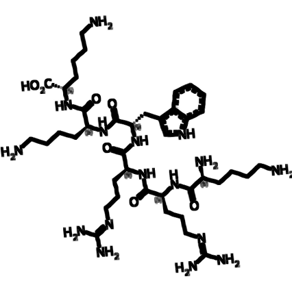 NCCCC[C@H](NC(=O)[C@H](CCCCN)NC(=O)[C@H](Cc1c[nH]c2ccccc12)NC(=O)[C@H](CCCN=C(N)N)NC(=O)[C@H](CCCN=C(N)N)NC(=O)[C@@H](N)CCCCN)C(=O)O